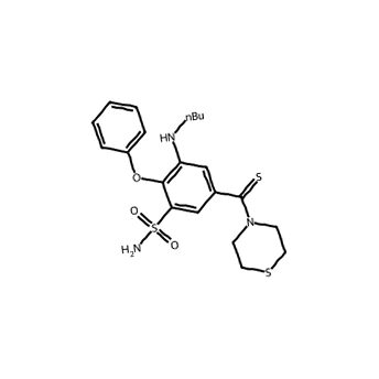 CCCCNc1cc(C(=S)N2CCSCC2)cc(S(N)(=O)=O)c1Oc1ccccc1